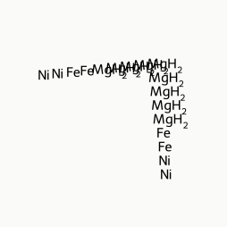 [Fe].[Fe].[Fe].[Fe].[MgH2].[MgH2].[MgH2].[MgH2].[MgH2].[MgH2].[MgH2].[MgH2].[MgH2].[Ni].[Ni].[Ni].[Ni]